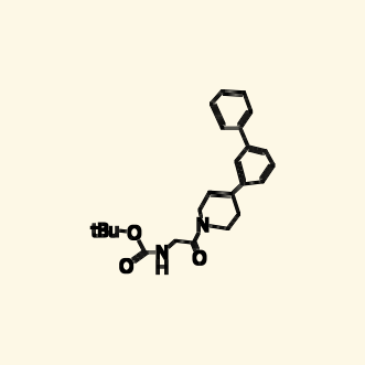 CC(C)(C)OC(=O)NCC(=O)N1CC=C(c2cccc(-c3ccccc3)c2)CC1